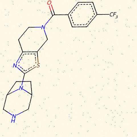 O=C(c1ccc(C(F)(F)F)cc1)N1CCc2nc(N3C4CCC3CNC4)sc2C1